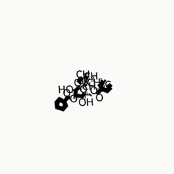 CC(O[C@@H]1O[C@H](COC(=O)c2ccccc2)[C@H](O)[C@H](OC(=O)c2ccccc2)[C@H]1O)[Si](C)(C)C